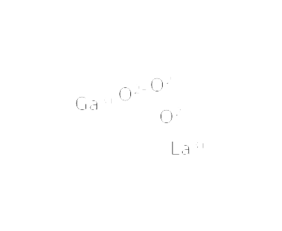 [Ga+3].[La+3].[O-2].[O-2].[O-2]